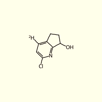 [2H]c1cc(Cl)nc2c1CCC2O